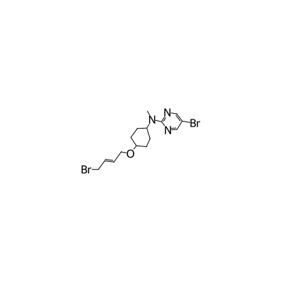 CN(c1ncc(Br)cn1)C1CCC(OCC=CCBr)CC1